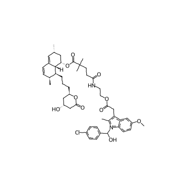 COc1ccc2c(c1)c(CC(=O)OCCNC(=O)CCC(C)(C)C(=O)O[C@H]1C[C@@H](C)C=C3C=C[C@H](C)[C@H](CCC[C@@H]4C[C@@H](O)CC(=O)O4)[C@H]31)c(C)n2C(O)c1ccc(Cl)cc1